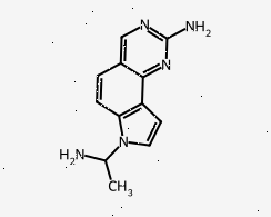 CC(N)n1ccc2c3nc(N)ncc3ccc21